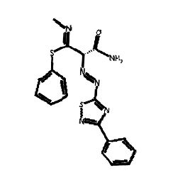 C/N=C(\Sc1ccccc1)[C@@H](/N=N/c1nc(-c2ccccc2)ns1)C(N)=O